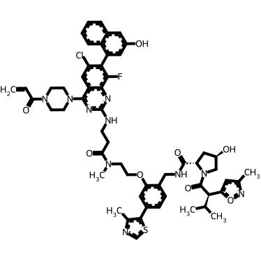 C=CC(=O)N1CCN(c2nc(NCCC(=O)N(C)CCOc3cc(-c4scnc4C)ccc3CNC(=O)[C@@H]3C[C@@H](O)CN3C(=O)[C@@H](c3cc(C)no3)C(C)C)nc3c(F)c(-c4cc(O)cc5ccccc45)c(Cl)cc23)CC1